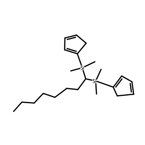 CCCCCCCC([Si](C)(C)C1=CC=CC1)[Si](C)(C)C1=CC=CC1